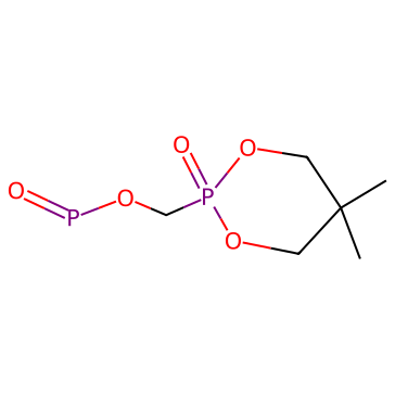 CC1(C)COP(=O)(COP=O)OC1